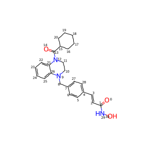 O=C(C=Cc1ccc(CN2CCN(C(=O)C3CCCCC3)c3ccccc32)cc1)NO